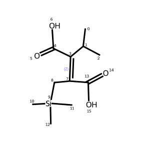 CC(C)/C(C(=O)O)=C(/C[Si](C)(C)C)C(=O)O